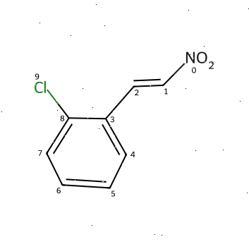 O=[N+]([O-])/C=C/c1ccccc1Cl